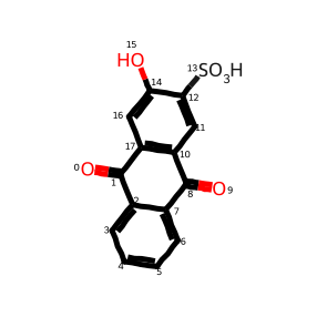 O=C1c2ccccc2C(=O)c2cc(S(=O)(=O)O)c(O)cc21